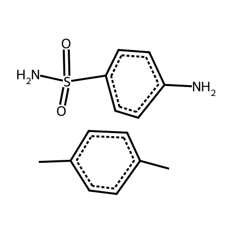 Cc1ccc(C)cc1.Nc1ccc(S(N)(=O)=O)cc1